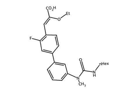 CCCCCCNC(=O)N(C)c1cccc(-c2ccc(C=C(OCC)C(=O)O)c(F)c2)c1